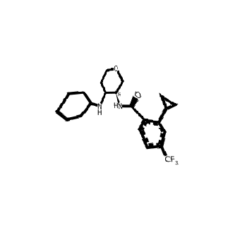 O=C(N[C@@H]1COCCC1NC1CCCCC1)c1ccc(C(F)(F)F)cc1C1CC1